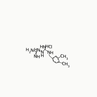 Cc1ccc(CNC(=N)NNC(=N)N)cc1C.Cl